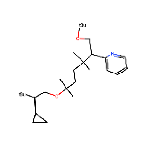 CC(C)(C)OCC(c1ccccn1)C(C)(C)CCC(C)(C)OCC(C1CC1)C(C)(C)C